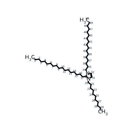 CCCCCCCCCCCCCCCCCCC1N(CCCCCCCCCCC)C=CN1CCCCCCCCCCCCCCCCC